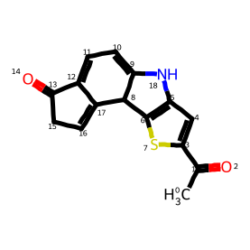 CC(=O)c1cc2c(s1)C1C(=CC=C3C(=O)CC=C31)N2